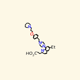 CCc1cc(N2CCN(CCc3ccc(OCCCN4CCCCCC4)cc3)CC2)c2nc(CCC(=O)O)ccc2c1